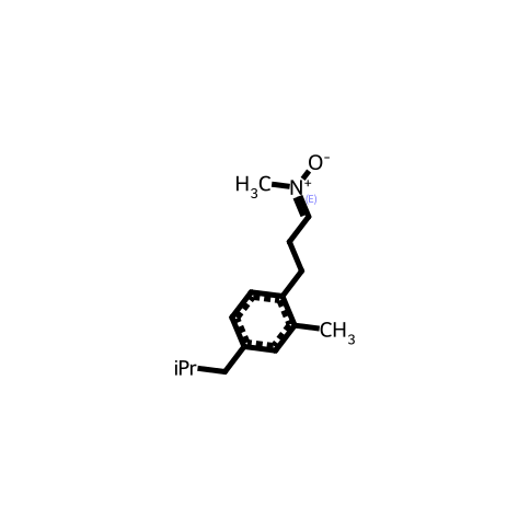 Cc1cc(CC(C)C)ccc1CC/C=[N+](\C)[O-]